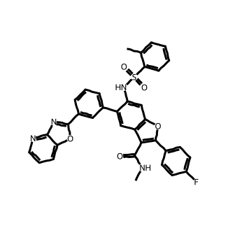 CNC(=O)c1c(-c2ccc(F)cc2)oc2cc(NS(=O)(=O)c3ccccc3C)c(-c3cccc(-c4nc5ncccc5o4)c3)cc12